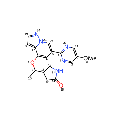 COc1cnc(-c2cc(OC(C)C3CNC(=O)C3)c3ccnn3c2)nc1